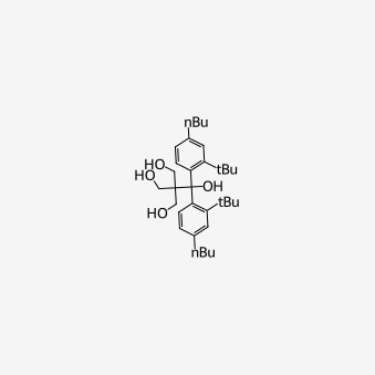 CCCCc1ccc(C(O)(c2ccc(CCCC)cc2C(C)(C)C)C(CO)(CO)CO)c(C(C)(C)C)c1